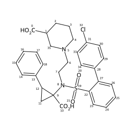 O=C(O)C1CCCN(CCN(C2(C(=O)O)CC2c2ccccc2)S(=O)(=O)c2ccccc2-c2ccc(Cl)cc2)C1